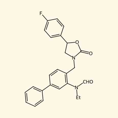 CCN(C=O)c1cc(-c2ccccc2)ccc1CN1CC(c2ccc(F)cc2)OC1=O